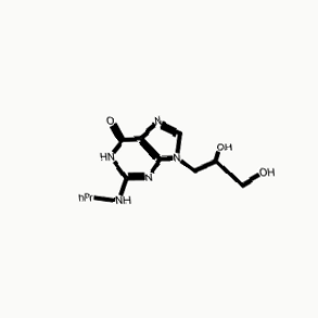 CCCNc1nc2c(ncn2CC(O)CO)c(=O)[nH]1